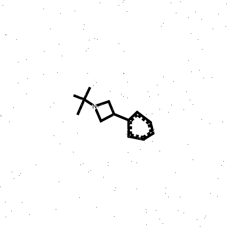 CC(C)(C)N1CC(c2ccccc2)C1